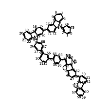 c1ccc(-n2c3ccccc3c3cc(-c4ccc5c6ccccc6n(-c6ccc(-c7cccc(-c8ccc(-c9ncnc%10c9oc9ccc(-c%11cccc%12c%11oc%11ccccc%11%12)cc9%10)cc8)c7)cc6)c5c4)ccc32)cc1